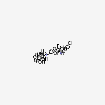 C/C(=N/OCc1ccc(Cl)cc1Cl)[C@H]1O[C@@H](Oc2ccc(/C=C(\C)C(=O)N[C@@H]3[C@H](O)[C@@H](O)[C@H]4OCO[C@H]4[C@@H]3O)cc2O)[C@@H](F)[C@@H]1O